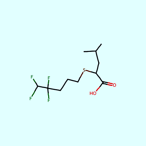 CC(C)CC(SCCCC(F)(F)C(F)F)C(=O)O